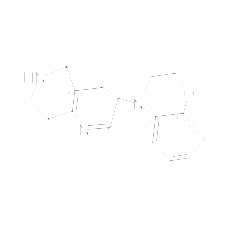 c1ccc2c(c1)OCCN2c1cnc2c(c1)CNCC2